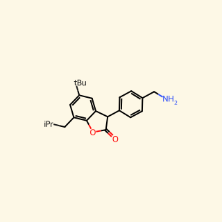 CC(C)Cc1cc(C(C)(C)C)cc2c1OC(=O)C2c1ccc(CN)cc1